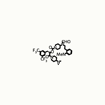 CNc1ccccc1CCN(C=O)C1CCN(C(=O)O[C@H](Cc2cc(C(F)(F)F)cc(C(F)(F)F)c2)C(=O)N2CCC(N(C)C)CC2)CC1